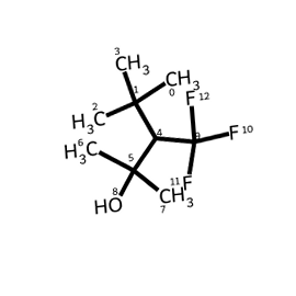 CC(C)(C)C(C(C)(C)O)C(F)(F)F